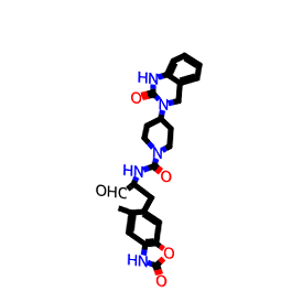 Cc1cc2[nH]c(=O)oc2cc1CC(C=O)NC(=O)N1CCC(N2Cc3ccccc3NC2=O)CC1